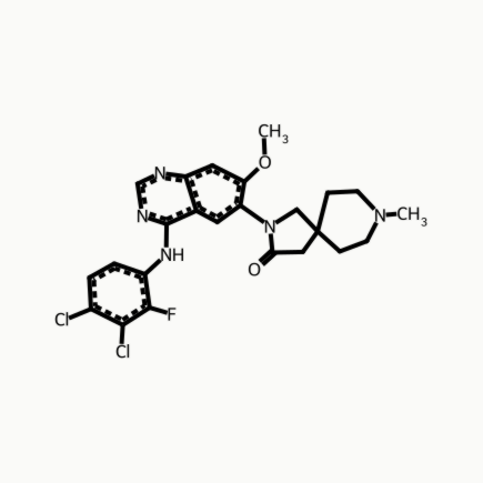 COc1cc2ncnc(Nc3ccc(Cl)c(Cl)c3F)c2cc1N1CC2(CCN(C)CC2)CC1=O